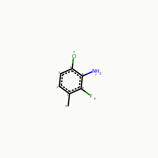 Cc1ccc(Cl)c(N)c1F